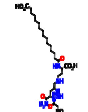 N=N/C(=C\NCC[C@H](NC(=O)CCCCCCCCCCCCCCC(=O)O)C(=O)O)CC(NC(=O)CN=O)C(N)=O